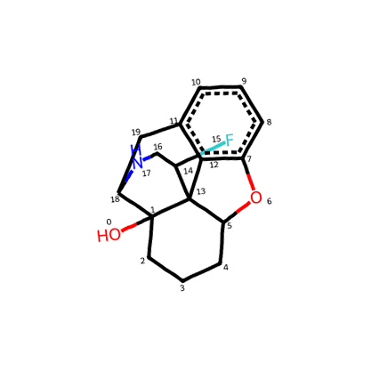 OC12CCCC3Oc4cccc5c4C31C(F)CNC2C5